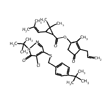 C=CCC1=C(C)C(OC(=O)C2C(C=C(C)C)C2(C)C)CC1=O.CC(C)(C)c1ccc(CSc2cnn(C(C)(C)C)c(=O)c2Cl)cc1